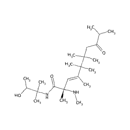 CN[C@@](C)(/C=C(\C)C(C)(C)C(C)(C)CC(=O)C(C)C)C(=O)NC(C)(C)C(C)O